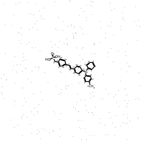 Cc1ccc(N(c2ccccc2)c2ccc(C=Cc3ccc(CP(=O)(O)O)cc3)cc2)cc1